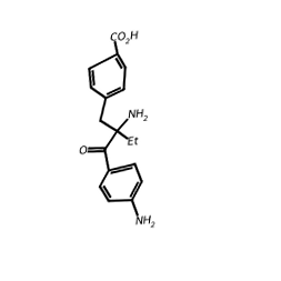 CCC(N)(Cc1ccc(C(=O)O)cc1)C(=O)c1ccc(N)cc1